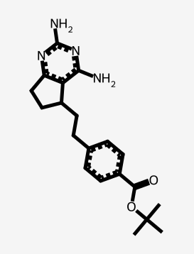 CC(C)(C)OC(=O)c1ccc(CCC2CCc3nc(N)nc(N)c32)cc1